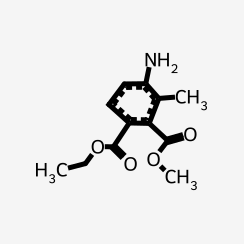 CCOC(=O)c1ccc(N)c(C)c1C(=O)OC